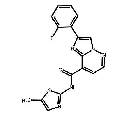 Cc1cnc(NC(=O)c2ccnn3cc(-c4ccccc4F)nc23)s1